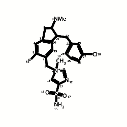 CNC1Cc2cc(F)c(C[N+]3(C)C=NC(S(N)(=O)=O)=C3)cc2C1Cc1cccc(Cl)c1